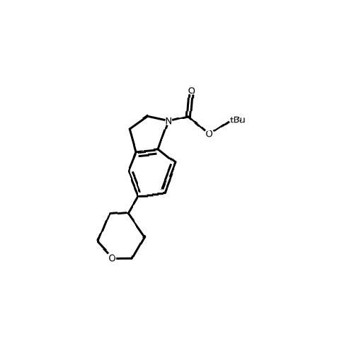 CC(C)(C)OC(=O)N1CCc2cc(C3CCOCC3)ccc21